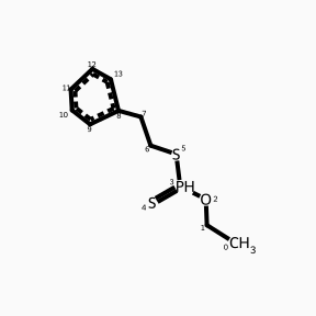 CCO[PH](=S)SCCc1ccccc1